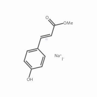 COC(=O)/C=C/c1ccc(O)cc1.[I-].[Na+]